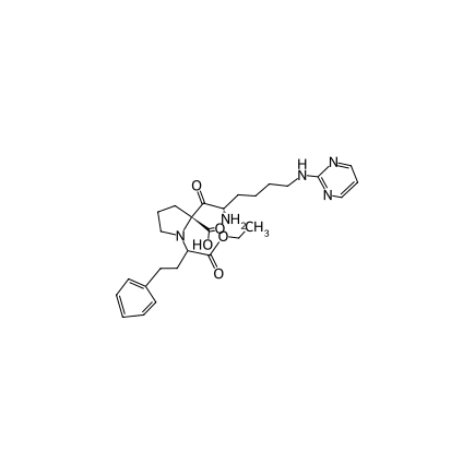 CCOC(=O)C(CCc1ccccc1)N1CCC[C@]1(C(=O)O)C(=O)[C@@H](N)CCCCNc1ncccn1